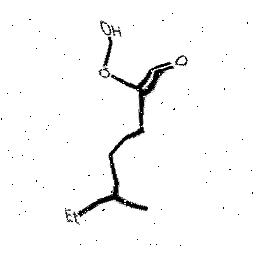 CCC(C)CCC(=O)OO